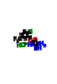 Cl.N=C(N)NC(=O)OCc1cc(C(F)(F)F)ccc1Cl